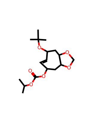 CC(C)OC(=O)OC1/C=C/C(OC(C)(C)C)CC2OCOC2C1